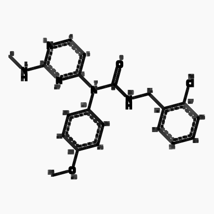 CNc1nccc(N(C(=O)NCc2ccccc2Cl)c2ccc(OC)cc2)n1